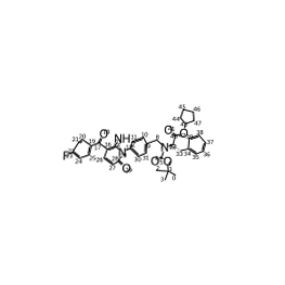 CC(C)(C)OC(=O)N(Cc1ccc(-n2c(N)c(C(=O)c3ccc(F)cc3)ccc2=O)cc1)[C@@H](Cc1ccccc1)C(=O)OC1CCCC1